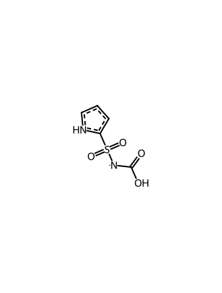 O=C(O)[N]S(=O)(=O)c1ccc[nH]1